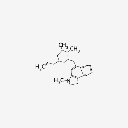 C=CCC1CC(C)C(C)C(Cc2cc3c(c4ccccc24)CCN3C)C1